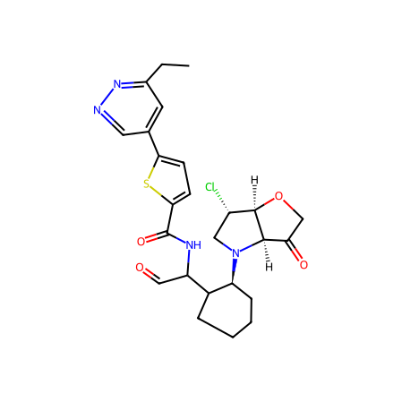 CCc1cc(-c2ccc(C(=O)NC(C=O)C3CCCC[C@@H]3N3C[C@H](Cl)[C@H]4OCC(=O)[C@H]43)s2)cnn1